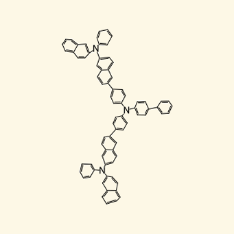 c1ccc(-c2ccc(N(c3ccc(-c4ccc5cc(N(c6ccccc6)c6ccc7ccccc7c6)ccc5c4)cc3)c3ccc(-c4ccc5cc(N(c6ccccc6)c6ccc7ccccc7c6)ccc5c4)cc3)cc2)cc1